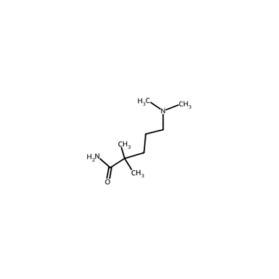 CN(C)CCCC(C)(C)C(N)=O